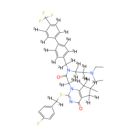 [2H]c1c([2H])c(C(F)(F)F)c([2H])c([2H])c1-c1c([2H])c([2H])c(C([2H])([2H])N(C(=O)C([2H])([2H])n2c(SC([2H])([2H])c3ccc(F)cc3)nc(=O)c3c2C([2H])([2H])C([2H])(C)C3([2H])[2H])C([2H])([2H])C([2H])([2H])N(CC)CC)c([2H])c1[2H]